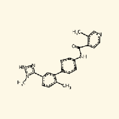 Cc1cnccc1C(=O)Nc1ccc(-c2cc(-c3n[nH]n3C)ccc2C)cc1